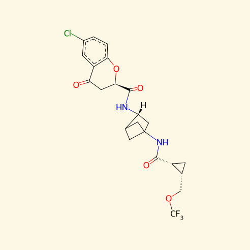 O=C1C[C@H](C(=O)N[C@@H]2CC3(NC(=O)[C@@H]4C[C@@H]4COC(F)(F)F)CC2C3)Oc2ccc(Cl)cc21